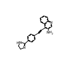 Nc1cnc2ccccc2c1C#Cc1ccc(C2=NCCN2)cc1